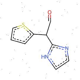 O=CC(c1ncc[nH]1)c1cccs1